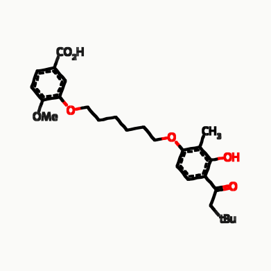 COc1ccc(C(=O)O)cc1OCCCCCCOc1ccc(C(=O)CC(C)(C)C)c(O)c1C